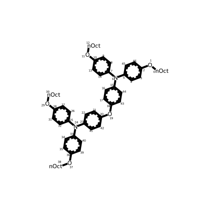 CCCCCCCCOc1ccc(N(c2ccc(OCCCCCCCC)cc2)c2ccc(Oc3ccc(N(c4ccc(OCCCCCCCC)cc4)c4ccc(OCCCCCCCC)cc4)cc3)cc2)cc1